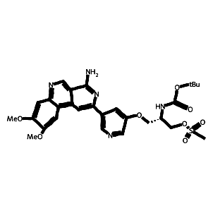 COc1cc2ncc3c(N)nc(-c4cncc(OC[C@@H](COS(C)(=O)=O)NC(=O)OC(C)(C)C)c4)cc3c2cc1OC